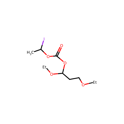 CCOCCC(OCC)OC(=O)OC(C)I